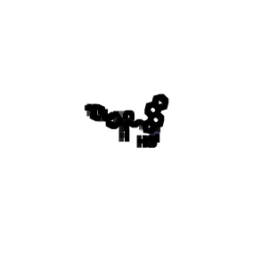 CN1CCN(c2ccc(NC(=O)CC[C@@H]3C/C(=N\O)[C@@]4(C)CCC5c6ccccc6CCC5C34)nc2)CC1